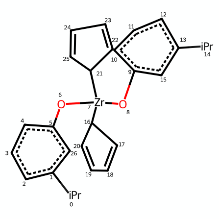 CC(C)c1cccc([O][Zr]([O]c2cccc(C(C)C)c2)([CH]2C=CC=C2)[CH]2C=CC=C2)c1